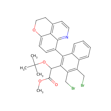 COC(=O)C(OC(C)(C)C)c1c(CBr)c(CBr)c2ccccc2c1-c1ccc2c3c(ccnc13)CCO2